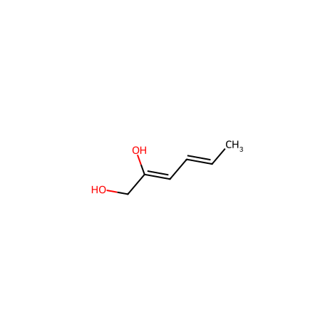 CC=CC=C(O)CO